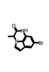 CC1C(=O)Nc2cc(Br)cc3ccn1c23